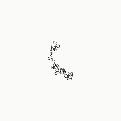 COc1cc(NC(=O)OCC2CCN(C(=O)CCN3CCC(OC(=O)Nc4ccccc4-c4ccccc4)CC3)CC2)c(Cl)cc1CNC[C@H](O[Si](C)(C)C(C)(C)C)c1ccc(O)c2[nH]c(=O)ccc12